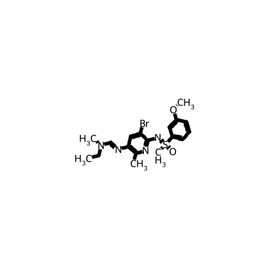 CCN(C)C=Nc1cc(Br)c(N=S(C)(=O)c2cccc(OC)c2)nc1C